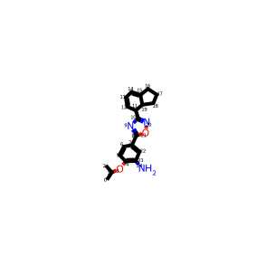 CC(C)Oc1ccc(-c2nc(C3C=CC=C4CCCC43)no2)cc1N